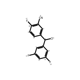 N#Cc1cc(C(Cl)c2cc(F)cc(F)c2)ccc1F